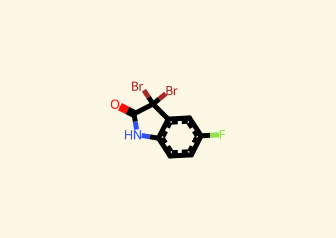 O=C1Nc2ccc(F)cc2C1(Br)Br